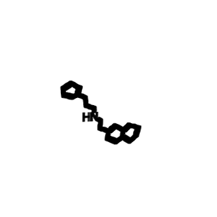 c1ccc(CCCNCCc2ccc3ccccc3c2)cc1